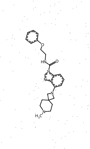 CN1CCC2(CC1)CN(c1cccc3c1ncn3C(=O)NCCOc1ccccc1)C2